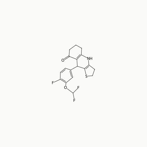 O=C1CCCC2=C1C(c1ccc(F)c(OC(F)F)c1)C1=C(CCS1)N2